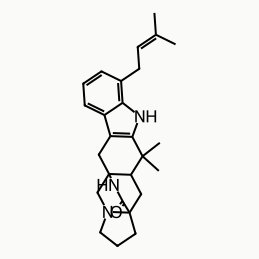 CC(C)=CCc1cccc2c3c([nH]c12)C(C)(C)C1CC24CCCN2CC1(C3)NC4=O